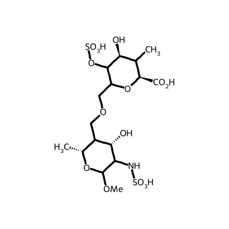 COC1O[C@H](C)C(COCC2O[C@H](C(=O)O)C(C)[C@H](O)C2OS(=O)(=O)O)[C@H](O)C1NS(=O)(=O)O